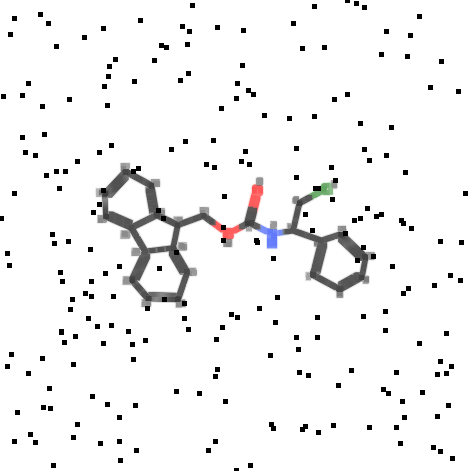 O=C(NC(CCl)c1ccccc1)OCC1c2ccccc2-c2ccccc21